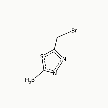 Bc1nnc(CBr)s1